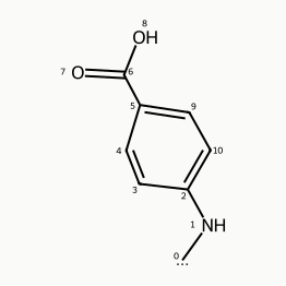 [C]Nc1ccc(C(=O)O)cc1